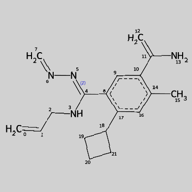 C=CCN/C(=N\N=C)c1cc(C(=C)N)c(C)cc1C1CCC1